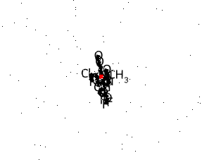 Cn1c(=O)n(CCCOC=O)c(=O)c2c(C(O)c3ccc(Cl)cn3)c(-c3cccc(OC(F)(F)F)c3)cnc21